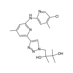 Cc1cc(Nc2cc(C)c(Cl)cn2)nc(-c2cn(CC(C)(O)C(C)(C)O)nn2)c1